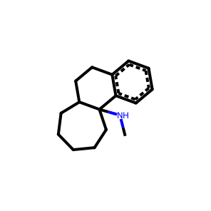 CNC12CCCCCC1CCc1ccccc12